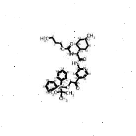 CCCCOC(=O)N[C@H](C(=O)Nc1cc(C(=O)CO[Si](c2ccccc2)(c2ccccc2)C(C)(C)C)ccn1)C1CCC(C)CC1